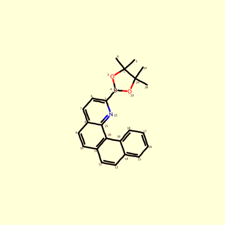 CC1(C)OB(c2ccc3ccc4ccc5ccccc5c4c3n2)OC1(C)C